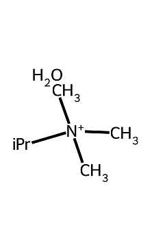 CC(C)[N+](C)(C)C.O